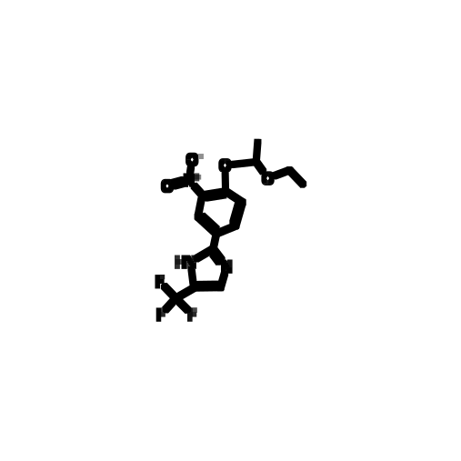 CCOC(C)Oc1ccc(-c2ncc(C(F)(F)F)[nH]2)cc1[N+](=O)[O-]